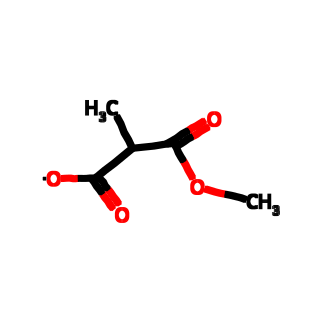 COC(=O)C(C)C([O])=O